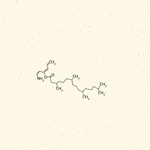 C=C/C=C(\C=C/N)OC(=O)CC(C)CCCC(C)CCCC(C)CCCC(C)C